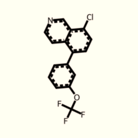 FC(F)(F)Oc1cccc(-c2ccc(Cl)c3cnccc23)c1